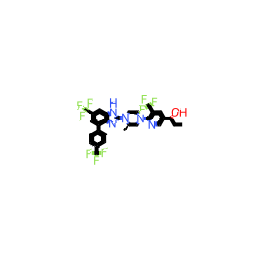 CCC(O)c1cnc(N2CCN(c3nc4c(-c5ccc(C(F)(F)F)cc5)cc(C(F)(F)F)cc4[nH]3)[C@H](C)C2)c(C(F)(F)F)c1